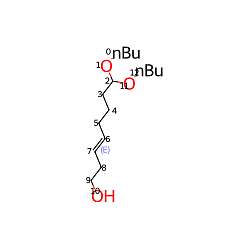 CCCCOC(CCC/C=C/CCO)OCCCC